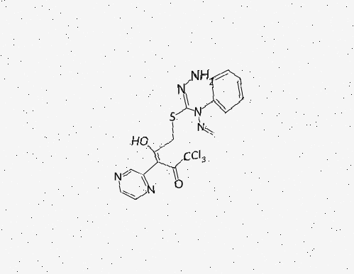 C=NN(/C(=N\N)SC/C(O)=C(\C(=O)C(Cl)(Cl)Cl)c1cnccn1)c1ccccc1